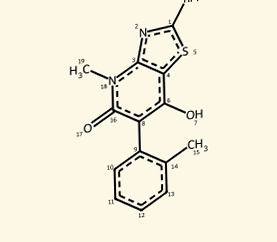 CCCc1nc2c(s1)c(O)c(-c1ccccc1C)c(=O)n2C